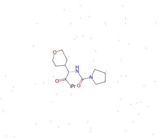 CC(C)C(=O)[C@@H](NC(=O)N1CCCC1)C1CCOCC1